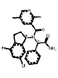 Cc1cnc(C)c(C(=O)N([C@@H]2CCc3c(F)cc(Cl)cc32)[C@@H](C(N)=O)c2ccccc2)c1